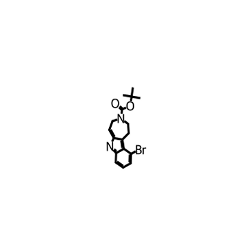 CC(C)(C)OC(=O)N1CC=C2N=c3cccc(Br)c3=C2CC1